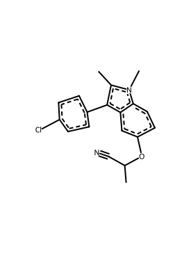 Cc1c(-c2ccc(Cl)cc2)c2cc(OC(C)C#N)ccc2n1C